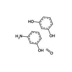 C=O.Nc1cccc(O)c1.Oc1cccc(O)c1